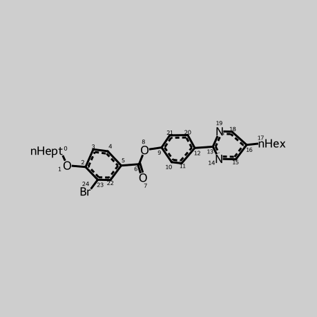 CCCCCCCOc1ccc(C(=O)Oc2ccc(-c3ncc(CCCCCC)cn3)cc2)cc1Br